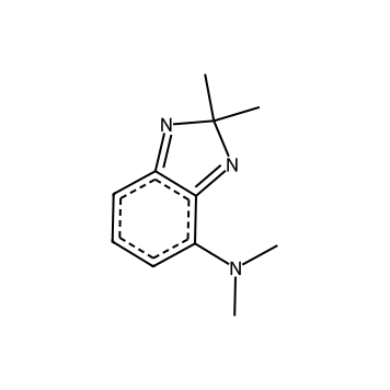 CN(C)c1cccc2c1=NC(C)(C)N=2